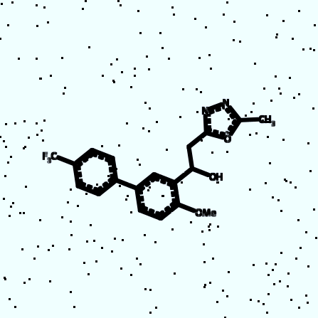 COc1ccc(-c2ccc(C(F)(F)F)cc2)cc1C(O)Cc1nnc(C)o1